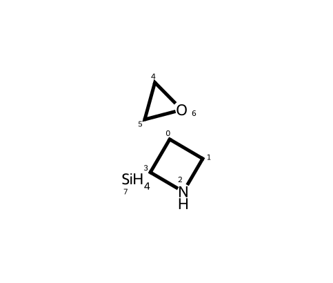 C1CNC1.C1CO1.[SiH4]